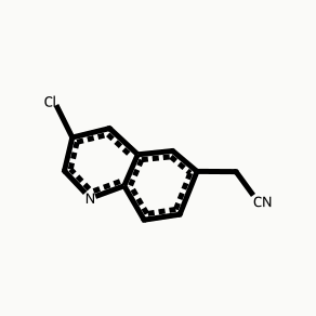 N#CCc1ccc2ncc(Cl)cc2c1